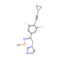 CCO/N=C(\Cn1ccnc1)c1cc(F)c(C#CC2CC2)c(F)c1